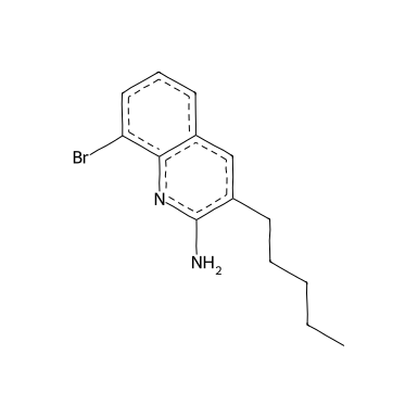 CCCCCc1cc2cccc(Br)c2nc1N